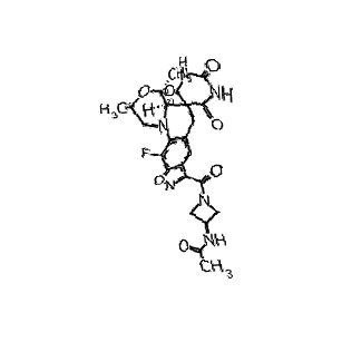 CC(=O)NC1CN(C(=O)c2noc3c(F)c4c(cc23)CC2(C(=O)NC(=O)NC2=O)[C@@H]2[C@@H](C)O[C@@H](C)CN42)C1